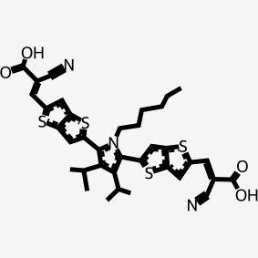 CCCCCCn1c(-c2cc3sc(/C=C(\C#N)C(=O)O)cc3s2)c(C(C)C)c(C(C)C)c1-c1cc2sc(/C=C(\C#N)C(=O)O)cc2s1